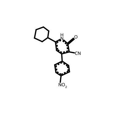 N#Cc1c(-c2ccc([N+](=O)[O-])cc2)cc(C2CCCCC2)[nH]c1=O